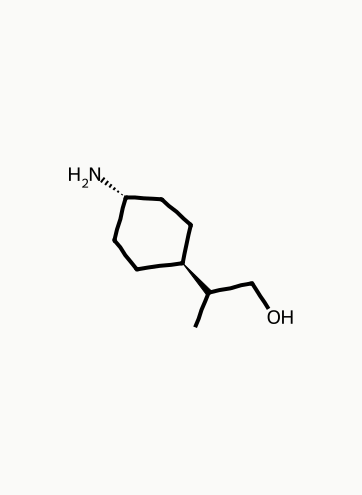 CC(CO)[C@H]1CC[C@H](N)CC1